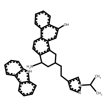 CC(C)n1cc(CCC2Cc3c(ccc4c3cc(O)c3ccccc34)C(N)C2)cn1.c1ccc2c(c1)[nH]c1ccccc12